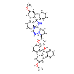 COc1ccc(C(Nc2ncnn3c([C@H]4C[C@H](OC(c5ccccc5)(c5ccccc5)c5ccc(OC)cc5)[CH]O4)ccc23)(c2ccccc2)c2ccccc2)cc1